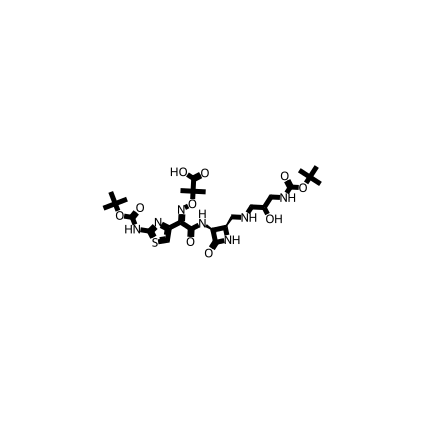 CC(C)(C)OC(=O)NCC(O)CNC[C@H]1NC(=O)[C@H]1NC(=O)C(=NOC(C)(C)C(=O)O)c1csc(NC(=O)OC(C)(C)C)n1